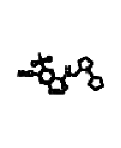 COc1cc(OC)c(S(C)(=O)=O)cc1C(=O)NCC1CCCN1C1CCCC1